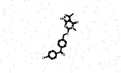 Cc1n[nH]c2nc(SCc3ccc(C(=O)c4ccc(Cl)cc4)cc3)n(C)c(=O)c12